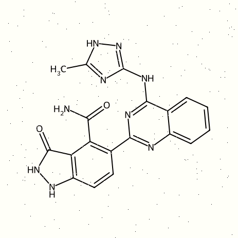 Cc1nc(Nc2nc(-c3ccc4[nH][nH]c(=O)c4c3C(N)=O)nc3ccccc23)n[nH]1